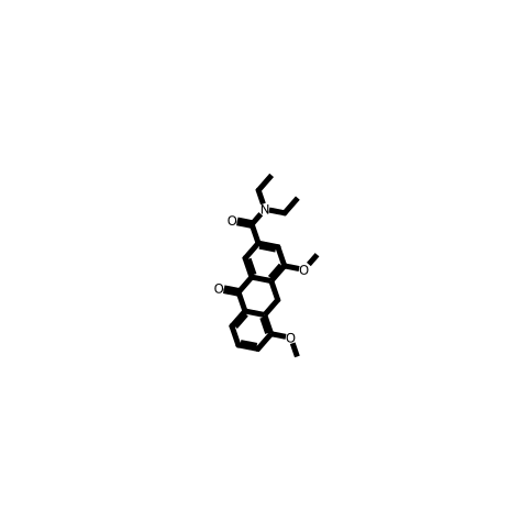 CCN(CC)C(=O)c1cc(OC)c2c(c1)C(=O)c1cccc(OC)c1C2